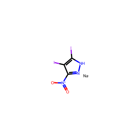 O=[N+]([O-])c1n[nH]c(I)c1I.[Na]